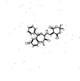 CN1C(=O)C(NC=C2C(=O)OC(C)(C)OC2=O)N=C(c2ccccc2)c2cc(Cl)ccc21